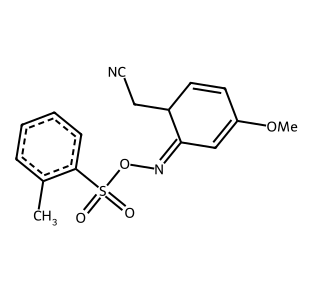 COC1=CC(=NOS(=O)(=O)c2ccccc2C)C(CC#N)C=C1